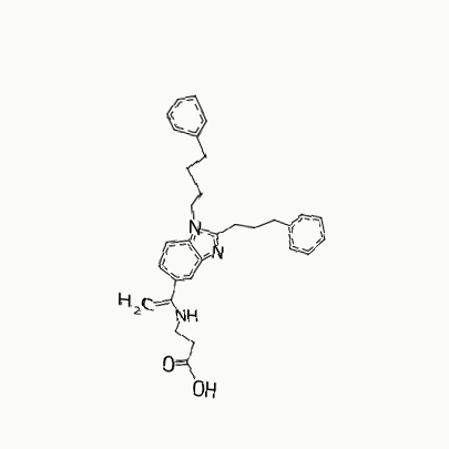 C=C(NCCC(=O)O)c1ccc2c(c1)nc(CCCc1ccccc1)n2CCCCc1ccccc1